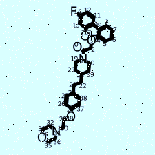 O=C(COc1ccccc1-c1ccc(F)cc1O)N1CCC(CCc2ccc(OCCN3CCOCC3)cc2)CC1